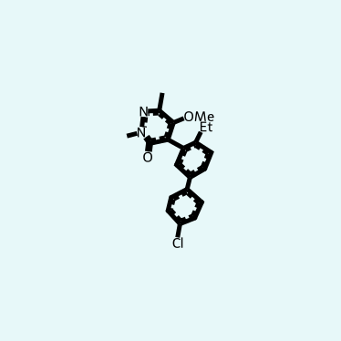 CCc1ccc(-c2ccc(Cl)cc2)cc1-c1c(OC)c(C)nn(C)c1=O